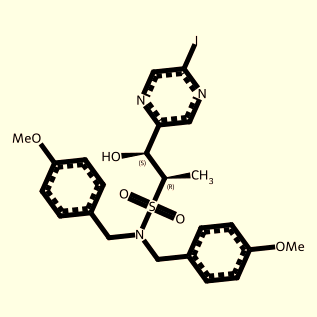 COc1ccc(CN(Cc2ccc(OC)cc2)S(=O)(=O)[C@H](C)[C@@H](O)c2cnc(I)cn2)cc1